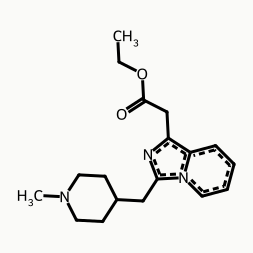 CCOC(=O)Cc1nc(CC2CCN(C)CC2)n2ccccc12